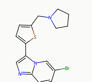 Brc1ccc2ncc(-c3ccc(CN4CCCC4)s3)n2c1